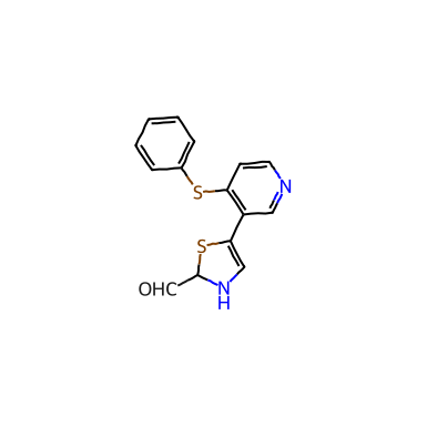 O=CC1NC=C(c2cnccc2Sc2ccccc2)S1